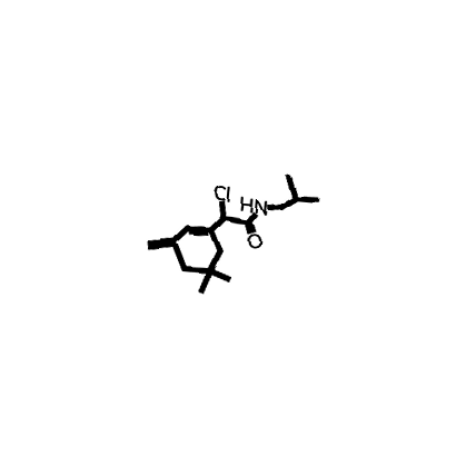 C=C1C=C(C(Cl)C(=O)NCC(C)C)CC(C)(C)C1